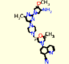 CO[C@H]1CN(c2nc(C)cc(N3CCN(C[C@H]4CN(c5ccc(C#N)c6ncccc56)C[C@@H](C)O4)CC3)n2)CC1N